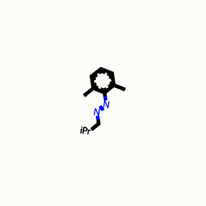 Cc1cccc(C)c1N=NCC(C)C